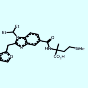 CCC(CC)n1c(Cc2ccco2)nc2cc(C(=O)NC(C)(CCSC)C(=O)O)ccc21